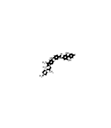 Cc1c(C)n(CC(C)CN2CCN(C)CC2)c2ccc(Nc3ccc(C(=O)Nc4cc(O)c(-c5ccc(F)cc5)c(O)c4)cc3)cc12